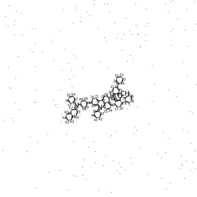 CC1(C)c2ccccc2-c2cccc(N(c3ccc(-c4ccccc4)cc3)c3ccc4c5c(cccc35)N(c3ccccc3)c3cc(-c5ccc(N(c6ccccc6)c6ccc7ccccc7c6)cc5)ccc3-4)c21